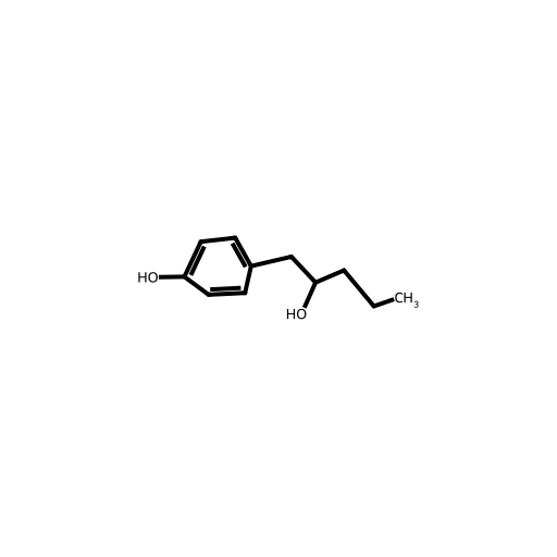 CCCC(O)Cc1ccc(O)cc1